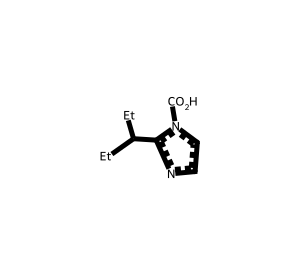 CCC(CC)c1nccn1C(=O)O